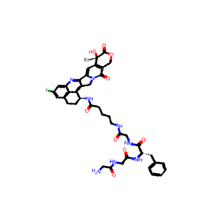 CC[C@@]1(O)C(=O)OCc2c1cc1n(c2=O)Cc2c-1nc1cc(F)cc3c1c2[C@@H](NC(=O)CCCCNC(=O)CNC(=O)[C@H](Cc1ccccc1)NC(=O)CNC(=O)CN)CC3